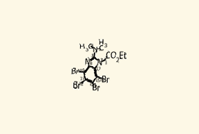 CCOC(=O)Cn1c(N(C)C)nc2c(Br)c(Br)c(Br)c(Br)c21